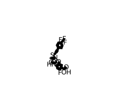 COc1cc(C(=O)O)c(F)cc1NS(=O)(=O)c1csc(C#Cc2ccc(C(F)(F)F)cc2)n1